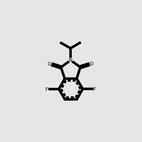 CC(C)N1C(=O)c2c(F)ccc(F)c2C1=O